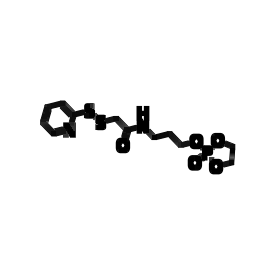 O=C(CSSc1ccccn1)NCCCOP1(=O)OCCO1